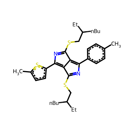 CCCCC(CC)CSC1=NC(c2ccc(C)s2)=C2C(SCC(CC)CCCC)=NC(c3ccc(C)cc3)=C12